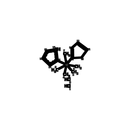 Cl.Cl.[CH3][Ti]([CH3])([CH3])([CH3])([CH3])([C]1=CC=CC1)[c]1ccc[nH]1